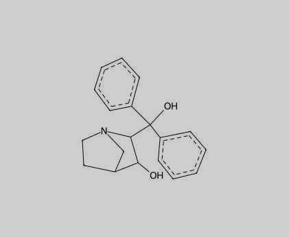 OC1C2CCN(C2)C1C(O)(c1ccccc1)c1ccccc1